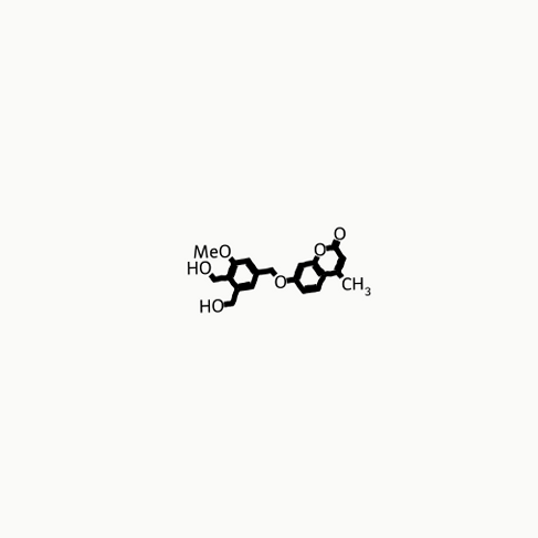 COc1cc(COc2ccc3c(C)cc(=O)oc3c2)cc(CO)c1CO